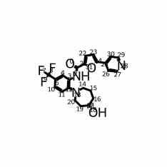 O=C(Nc1cc(C(F)(F)F)ccc1N1CCC[C@@H](O)CC1)c1ccc(-c2ccncc2)o1